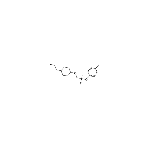 CCCC1CCC(OCC(F)(F)Oc2ccc(C)cc2)CC1